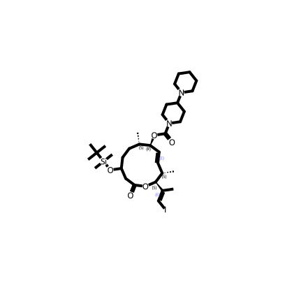 C/C(=C\I)[C@H]1OC(=O)CC(O[Si](C)(C)C(C)(C)C)CC[C@H](C)[C@@H](OC(=O)N2CCC(N3CCCCC3)CC2)/C=C/[C@@H]1C